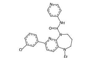 CCN1CCCN(C(=O)Nc2ccncc2)c2nc(-c3cccc(Cl)c3)ccc21